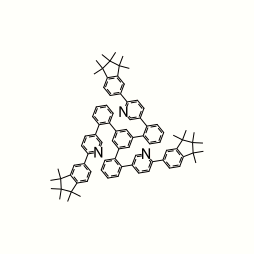 CC1(C)c2ccc(-c3ccc(-c4ccccc4-c4cc(-c5ccccc5-c5ccc(-c6ccc7c(c6)C(C)(C)C(C)(C)C7(C)C)nc5)cc(-c5ccccc5-c5ccc(-c6ccc7c(c6)C(C)(C)C(C)(C)C7(C)C)nc5)c4)cn3)cc2C(C)(C)C1(C)C